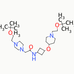 CC(C)(C)OCCN1CCC(O[C@H]2C[C@H](NC(=O)CN3CCN(CCOC(C)(C)C)CC3)C2)CC1